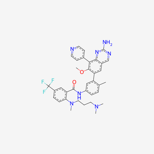 COc1c(-c2cc(NC(=O)c3cc(C(F)(F)F)ccc3N(C)CCCN(C)C)ccc2C)cc2cnc(N)nc2c1-c1ccncc1